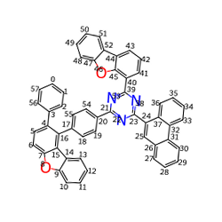 c1ccc(-c2ccc3oc4ccccc4c3c2-c2ccc(-c3nc(-c4cc5ccccc5c5ccccc45)nc(-c4cccc5c4oc4ccccc45)n3)cc2)cc1